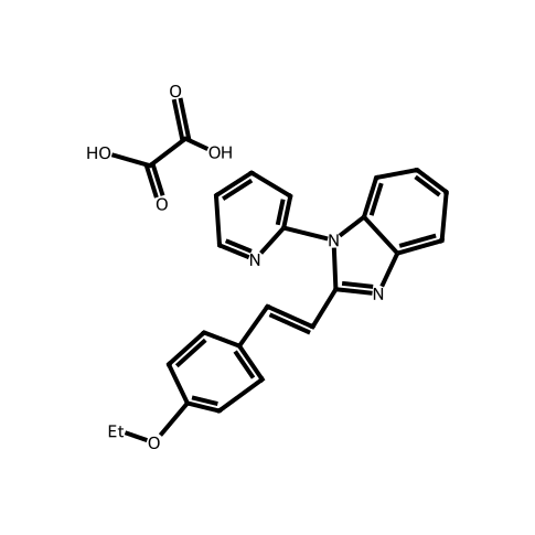 CCOc1ccc(/C=C/c2nc3ccccc3n2-c2ccccn2)cc1.O=C(O)C(=O)O